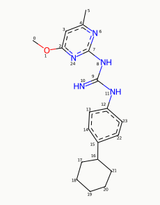 COc1cc(C)nc(NC(=N)Nc2ccc(C3CCCCC3)cc2)n1